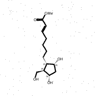 COC(=O)C=CCCCC[C@H]1[C@H](CO)[C@@H](O)C[C@H]1O